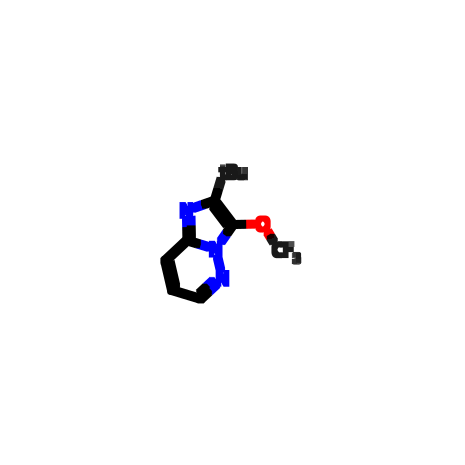 CC(C)(C)c1nc2cccnn2c1OC(F)(F)F